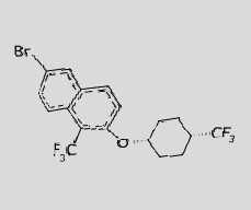 FC(F)(F)c1c(O[C@H]2CC[C@@H](C(F)(F)F)CC2)ccc2cc(Br)ccc12